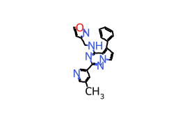 Cc1cncc(-c2nc(NCc3ccon3)c3c(-c4ccccc4)ccn3n2)c1